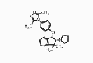 Cc1nnc(C)n1-c1ccc(O[C@H]2c3ccccc3C(C)(C)[C@@H]2N2CCCC2)cc1